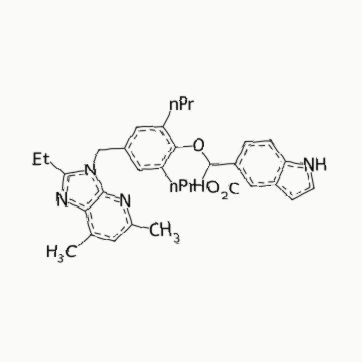 CCCc1cc(Cn2c(CC)nc3c(C)cc(C)nc32)cc(CCC)c1OC(C(=O)O)c1ccc2[nH]ccc2c1